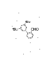 CC(C)(C)c1cc(-c2ccccc2C=O)cc(C(C)(C)C)c1